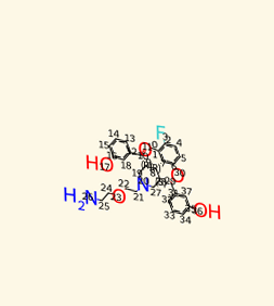 Cc1c(F)cccc1[C@H]1[C@@H](C(=O)c2cccc(O)c2)CN(CCOCCN)C[C@H]1C(=O)c1cccc(O)c1